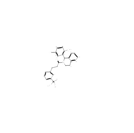 O=C(CCc1cccc(C(F)(F)F)c1)N1CCc2ccccc2C1c1cc(Cl)ccc1O